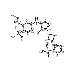 CCNc1nc(Nc2cnn([C@H]3C[C@@H](n4ncnc4C(F)(F)F)C3)c2C)ncc1C(F)(F)F